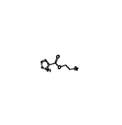 O=C(OCCBr)c1ccc[nH]1